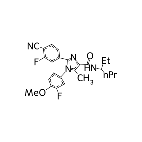 CCCC(CC)NC(=O)c1nc(-c2ccc(C#N)c(F)c2)n(-c2ccc(OC)c(F)c2)c1C